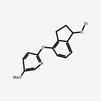 CCOC1CCc2c(Oc3ccc(OC)cn3)cccc21